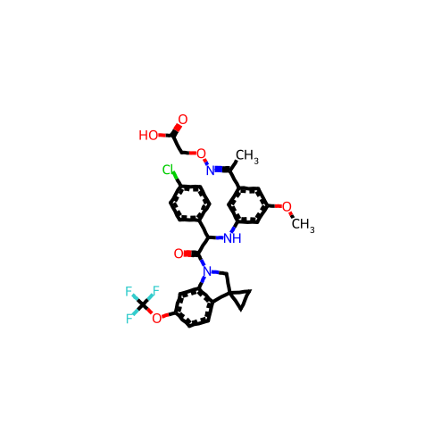 COc1cc(NC(C(=O)N2CC3(CC3)c3ccc(OC(F)(F)F)cc32)c2ccc(Cl)cc2)cc(C(C)=NOCC(=O)O)c1